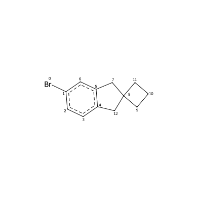 Brc1ccc2c(c1)CC1(CCC1)C2